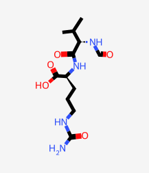 CC(C)[C@H](NC=O)C(=O)N[C@@H](CCCNC(N)=O)C(=O)O